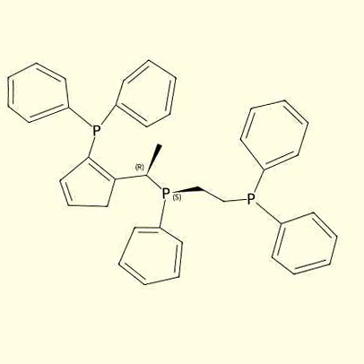 C[C@H](C1=C(P(c2ccccc2)c2ccccc2)C=CC1)[P@@](CCP(c1ccccc1)c1ccccc1)c1ccccc1